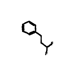 FC(F)CCc1ccccc1